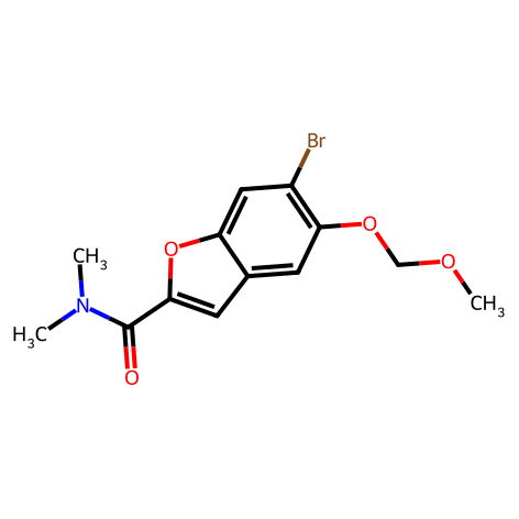 COCOc1cc2cc(C(=O)N(C)C)oc2cc1Br